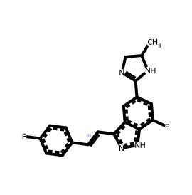 CC1CN=C(c2cc(F)c3[nH]nc(/C=C/c4ccc(F)cc4)c3c2)N1